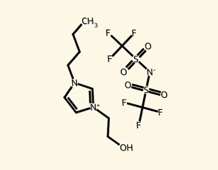 CCCCn1cc[n+](CCO)c1.O=S(=O)([N-]S(=O)(=O)C(F)(F)F)C(F)(F)F